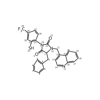 O=C1C(Cc2ccccc2)N(Cc2ccnc3ccccc23)C(=O)N1c1ccc(C(F)(F)F)cc1S